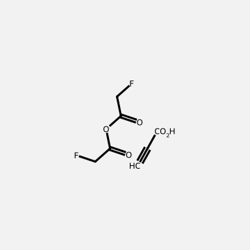 C#CC(=O)O.O=C(CF)OC(=O)CF